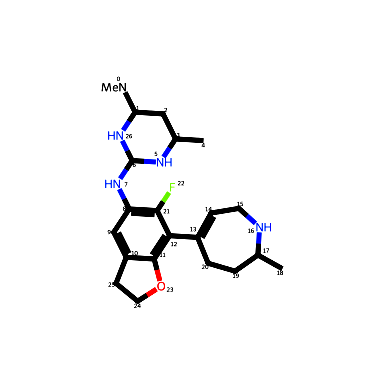 CNC1CC(C)NC(Nc2cc3c(c(C4=CCNC(C)CC4)c2F)OCC3)N1